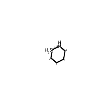 C1CC[SiH2]NC1